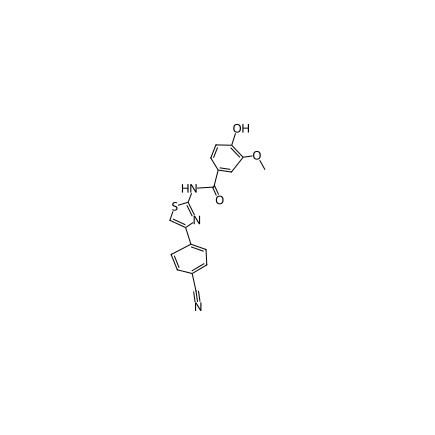 COc1cc(C(=O)Nc2nc(-c3ccc(C#N)cc3)cs2)ccc1O